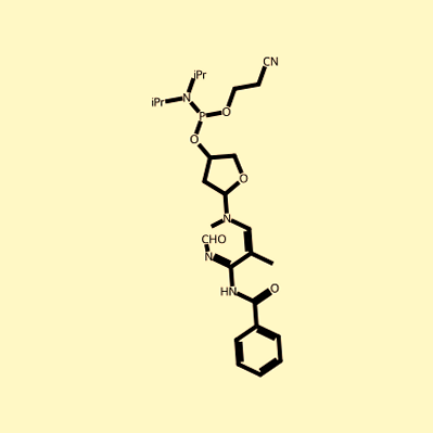 CC(=C/N(C)C1CC(OP(OCCC#N)N(C(C)C)C(C)C)CO1)/C(=N\C=O)NC(=O)c1ccccc1